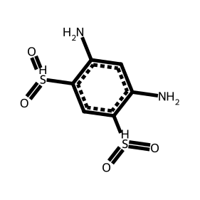 Nc1cc(N)c([SH](=O)=O)cc1[SH](=O)=O